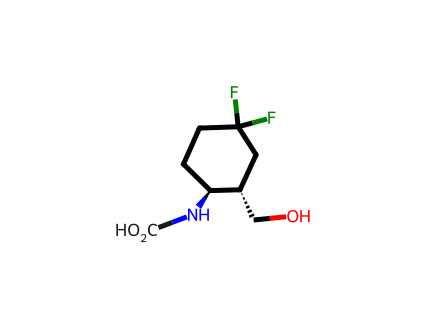 O=C(O)N[C@H]1CCC(F)(F)C[C@@H]1CO